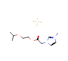 CC(C)OCCOC(=O)Cn1cc[n+](C)c1.F[B-](F)(F)F